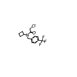 O=C(CCl)N(Cc1ccc(C(F)(F)F)cc1)C1CCC1